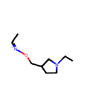 C/C=N\OCC1CCN(CC)C1